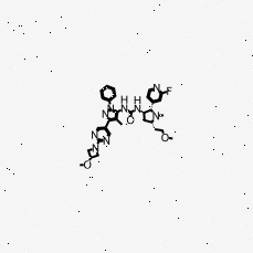 COCC[C@@H]1C[C@@H](NC(=O)Nc2c(C)c(-c3cnc(N4CC(OC)C4)nc3)nn2-c2ccccc2)[C@H](c2ccnc(F)c2)N1C